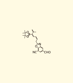 C=C(C)/C(=C\C=C/Cc1nc2cc(C=O)cc(C#N)c2o1)B1OC(C)(C)C(C)(C)O1